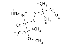 COC(C)(C)C(C)(CCC(C)(C)N=O)N=N